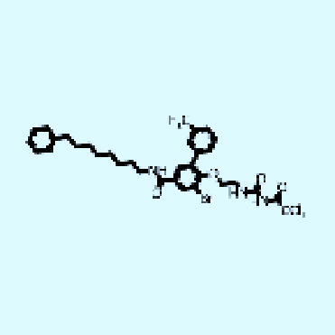 O=C(NCCOc1c(Br)cc(C(=O)NCCCCCCCCc2ccccc2)cc1-c1cccc(C(F)(F)F)c1)NC(=O)C(Cl)(Cl)Cl